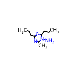 CCCC1=NC(CCC)N(N)C(C)=N1